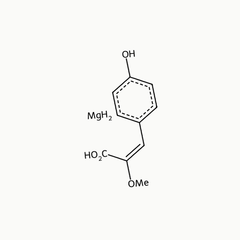 COC(=Cc1ccc(O)cc1)C(=O)O.[MgH2]